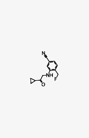 N#Cc1ccc(CF)c(NCC(=O)C2CC2)c1